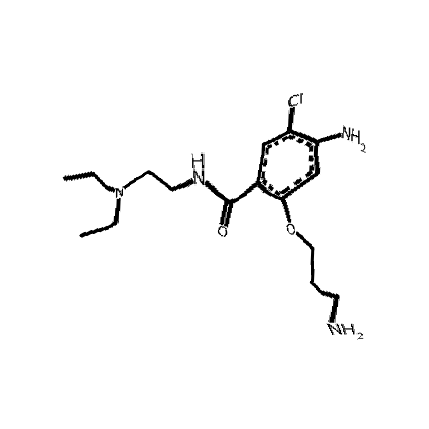 CCN(CC)CCNC(=O)c1cc(Cl)c(N)cc1OCCCN